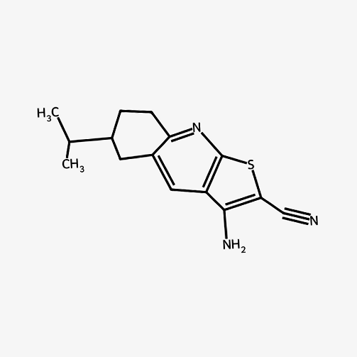 CC(C)C1CCc2nc3sc(C#N)c(N)c3cc2C1